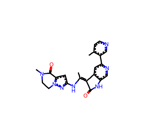 CC(Nc1cc2n(n1)CCN(C)C2=O)=C1C(=O)Nc2cnc(-c3cnccc3C)cc21